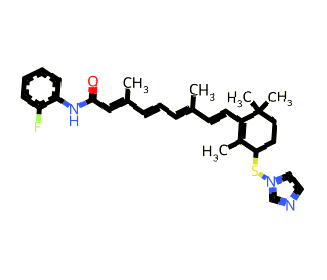 CC1=C(/C=C/C(C)=C/C=C/C(C)=C/C(=O)Nc2ccccc2F)C(C)(C)CCC1Sn1ccnc1